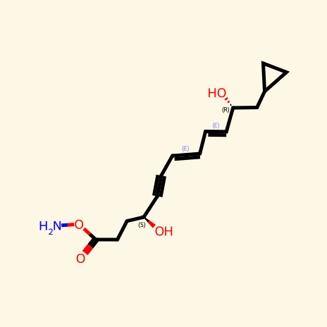 NOC(=O)CC[C@H](O)C#C/C=C/C=C/[C@H](O)CC1CC1